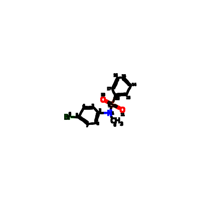 CN(c1ccc(Br)cc1)S(=O)(=O)c1ccccc1